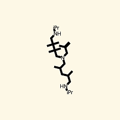 C=C(C)CN(CC(C)CC(C)CNC(C)C)CC(C)(C)C(C)(C)CNC(C)C